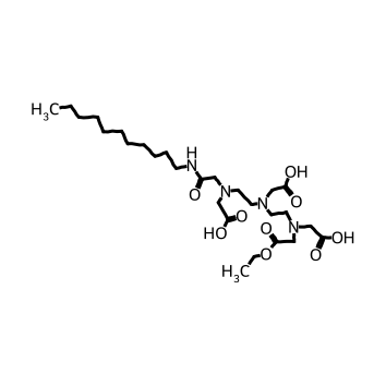 CCCCCCCCCCCNC(=O)CN(CCN(CCN(CC(=O)O)CC(=O)OCC)CC(=O)O)CC(=O)O